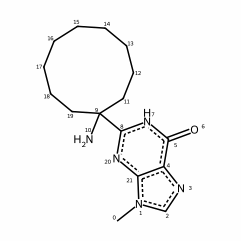 Cn1cnc2c(=O)[nH]c(C3(N)CCCCCCCCC3)nc21